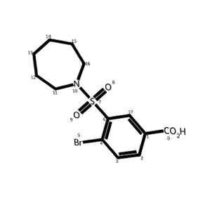 O=C(O)c1ccc(Br)c(S(=O)(=O)N2CCCCCC2)c1